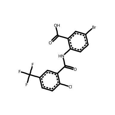 O=C(Nc1ccc(Br)cc1C(=O)O)c1cc(C(F)(F)F)ccc1Cl